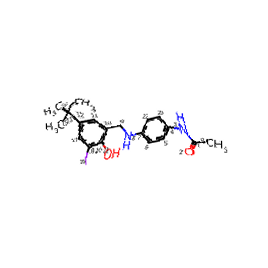 CC(=O)Nc1ccc(NCc2cc(C(C)(C)C)cc(I)c2O)cc1